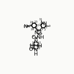 Cc1cc(-c2sc(NC(=O)N3C[C@@H]4CNC(=O)[C@@H]4C3)nc2-c2cccc(C#N)c2)cc(C)n1